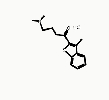 Cc1c(C(=O)CCCN(C)C)sc2ccccc12.Cl